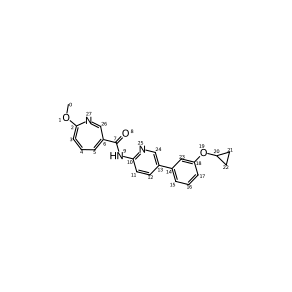 COC1=C=CC=C(C(=O)Nc2ccc(-c3cccc(OC4CC4)c3)cn2)C=N1